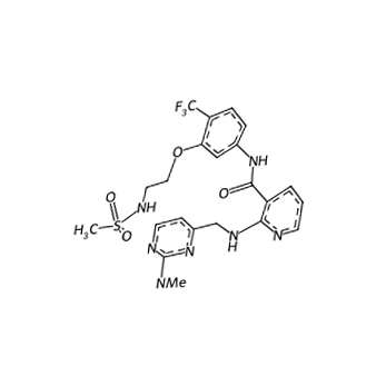 CNc1nccc(CNc2ncccc2C(=O)Nc2ccc(C(F)(F)F)c(OCCNS(C)(=O)=O)c2)n1